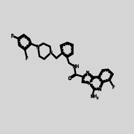 Nc1nc2c(F)cccc2c2nc(C(=O)NCc3ccccc3CN3CCN(c4ccc(F)cc4F)CC3)cn12